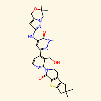 Cn1nc(-c2ccnc(N3CCc4c(sc5c4CC(C)(C)C5)C3=O)c2CO)cc(Nc2cc3n(n2)CC(C)(C)OC3)c1=O